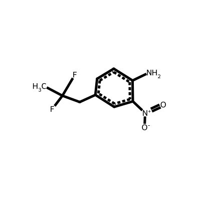 CC(F)(F)Cc1ccc(N)c([N+](=O)[O-])c1